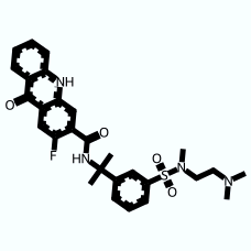 CN(C)CCN(C)S(=O)(=O)c1cccc(C(C)(C)NC(=O)c2cc3[nH]c4ccccc4c(=O)c3cc2F)c1